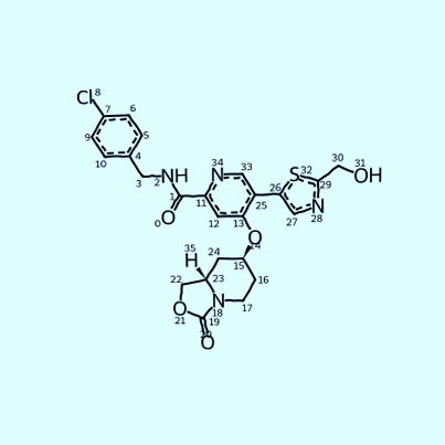 O=C(NCc1ccc(Cl)cc1)c1cc(O[C@H]2CCN3C(=O)OC[C@@H]3C2)c(-c2cnc(CO)s2)cn1